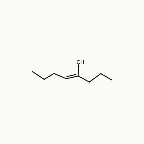 CC[CH]/C(O)=C/CCC